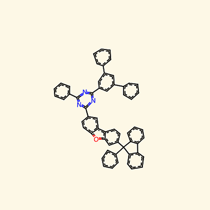 c1ccc(-c2cc(-c3ccccc3)cc(-c3nc(-c4ccccc4)nc(-c4ccc5oc6cc(C7(c8ccccc8)c8ccccc8-c8ccccc87)ccc6c5c4)n3)c2)cc1